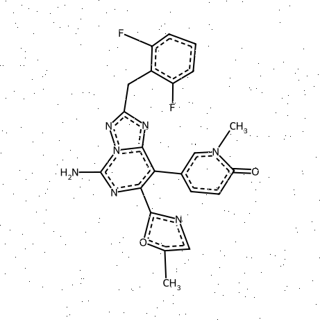 Cc1cnc(-c2nc(N)n3nc(Cc4c(F)cccc4F)nc3c2-c2ccc(=O)n(C)c2)o1